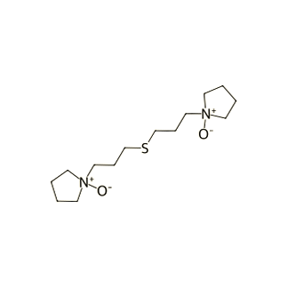 [O-][N+]1(CCCSCCC[N+]2([O-])CCCC2)CCCC1